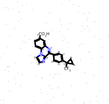 O=C(O)c1ccc2c(c1)nc(-c1ccc(C3(C(F)(F)F)CC3)cc1)c1nccn12